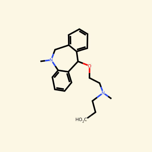 CN(CCOC1c2ccccc2CN(C)c2ccccc21)CCC(=O)O